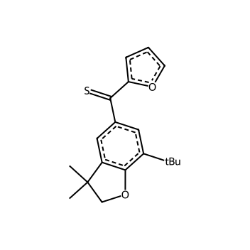 CC(C)(C)c1cc(C(=S)c2ccco2)cc2c1OCC2(C)C